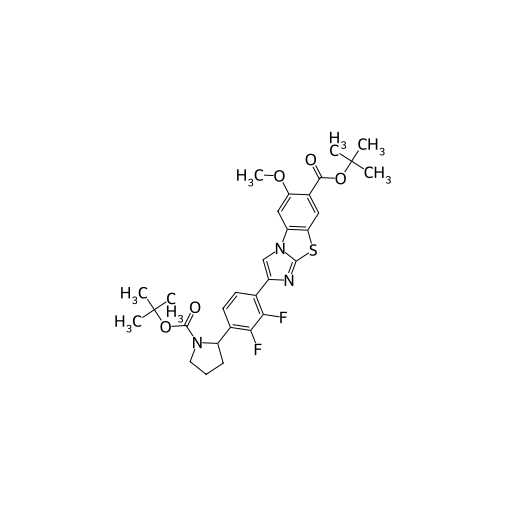 COc1cc2c(cc1C(=O)OC(C)(C)C)sc1nc(-c3ccc(C4CCCN4C(=O)OC(C)(C)C)c(F)c3F)cn12